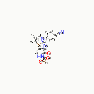 CC[C@H](C)CN(c1ccc(C#N)cc1)c1nc(C(=O)NS(C)(=O)=O)c(C)s1